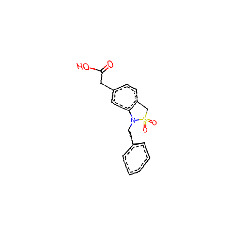 O=C(O)Cc1ccc2c(c1)N(Cc1ccccc1)S(=O)(=O)C2